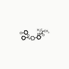 CC(C)C(=O)Nc1cccc(C2CCN(C[C@@H](Oc3cccc(Cl)c3)c3ccccc3)CC2)c1